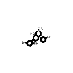 CN1CC[C@@]2(c3cccc(O)c3)Cc3[nH]c4ccc(Br)cc4c3C[C@]2(O)C1